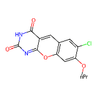 CCCOc1cc2oc3nc(=O)[nH]c(=O)c-3cc2cc1Cl